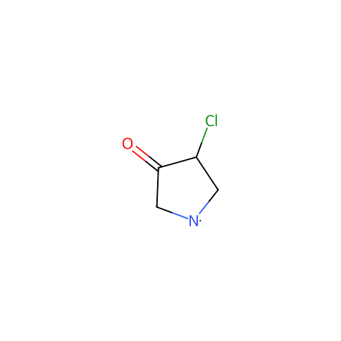 O=C1C[N]CC1Cl